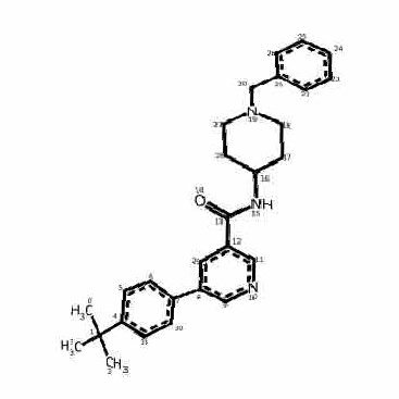 CC(C)(C)c1ccc(-c2cncc(C(=O)NC3CCN(Cc4ccccc4)CC3)c2)cc1